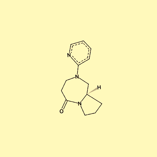 O=C1CCN(c2ccccn2)C[C@H]2CCCN12